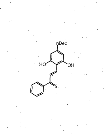 CCCCCCCCCCc1cc(O)c(C=CC(=S)c2ccccc2)c(O)c1